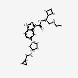 CCNC[C@@H](NC(=O)c1n[nH]c2ccc(N3CC[C@H](OCC4CC4)C3)cc12)C1CCC1